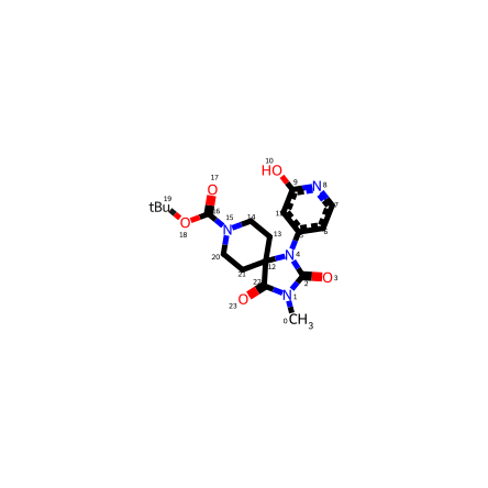 CN1C(=O)N(c2ccnc(O)c2)C2(CCN(C(=O)OC(C)(C)C)CC2)C1=O